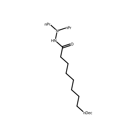 CCCCCCCCCCCCCCCCCC(=O)NN(CCC)CCC